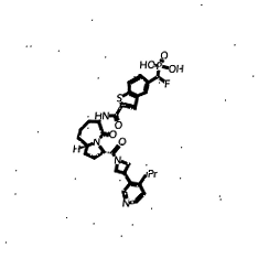 CC(C)c1ccncc1C1CN(C(=O)[C@@H]2CC[C@@H]3CCC[C@H](NC(=O)c4cc5cc(C(F)P(=O)(O)O)ccc5s4)C(=O)N32)C1